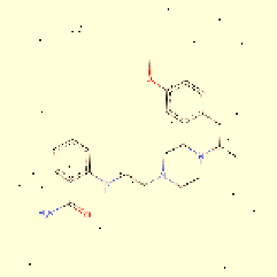 COc1ccc(CC(C)N2CCN(CCNc3ccccc3C(N)=O)CC2)cc1